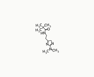 CN(C)C1=NCC(CCNC(=O)C(C)(C)C)=N1